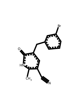 Cc1[nH]c(=O)c(Cc2cccc(Br)c2)cc1C#N